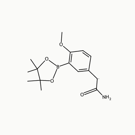 COc1ccc([CH]C(N)=O)cc1B1OC(C)(C)C(C)(C)O1